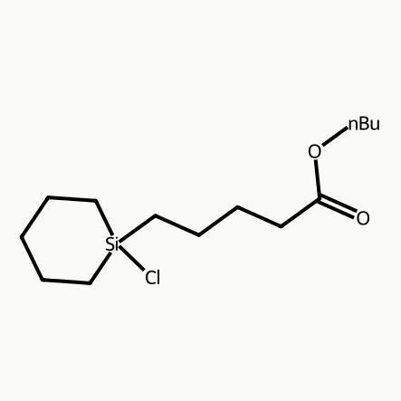 CCCCOC(=O)CCCC[Si]1(Cl)CCCCC1